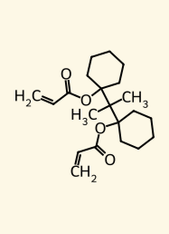 C=CC(=O)OC1(C(C)(C)C2(OC(=O)C=C)CCCCC2)CCCCC1